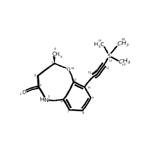 C[C@@H]1CC(=O)Nc2cccc(C#CS(C)(C)C)c2O1